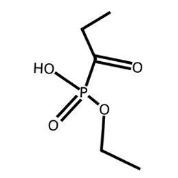 CCOP(=O)(O)C(=O)CC